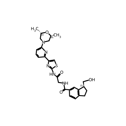 C[C@@H]1CN(c2cccc(-c3csc(NC(=O)CNC(=O)c4ccc5c(c4)[C@@H](CO)CC5)n3)n2)C[C@H](C)O1